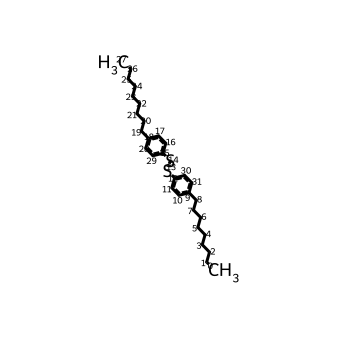 CCCCCCCCCc1ccc(SSc2ccc(CCCCCCCCC)cc2)cc1